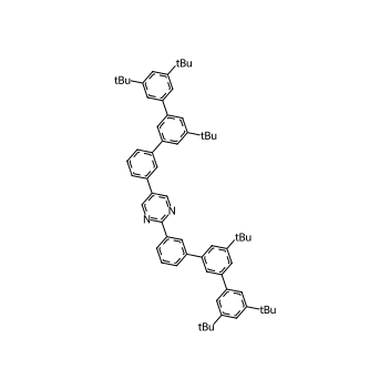 CC(C)(C)c1cc(-c2cccc(-c3cnc(-c4cccc(-c5cc(-c6cc(C(C)(C)C)cc(C(C)(C)C)c6)cc(C(C)(C)C)c5)c4)nc3)c2)cc(-c2cc(C(C)(C)C)cc(C(C)(C)C)c2)c1